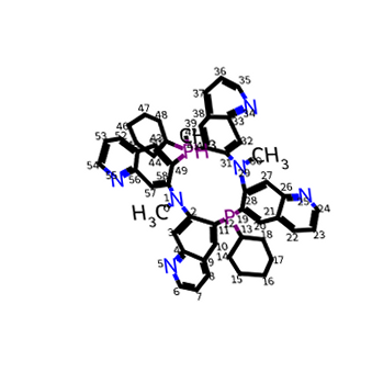 CN1c2cc3ncccc3cc2P(C2CCCCC2)c2cc3cccnc3cc2N(C)c2cc3ncccc3cc2[PH](C)(C2CCCCC2)c2cc3cccnc3cc21